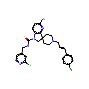 N#Cc1ccc2c(n1)C1(CCN(CC=Cc3ccc(Cl)cc3)CC1)CN2C(=O)NCc1ccnc(Cl)c1